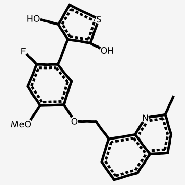 COc1cc(F)c(-c2c(O)csc2O)cc1OCc1cccc2ccc(C)nc12